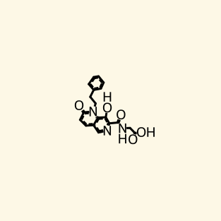 O=C(O)CNC(=O)c1ncc2ccc(=O)n(CCc3ccccc3)c2c1O